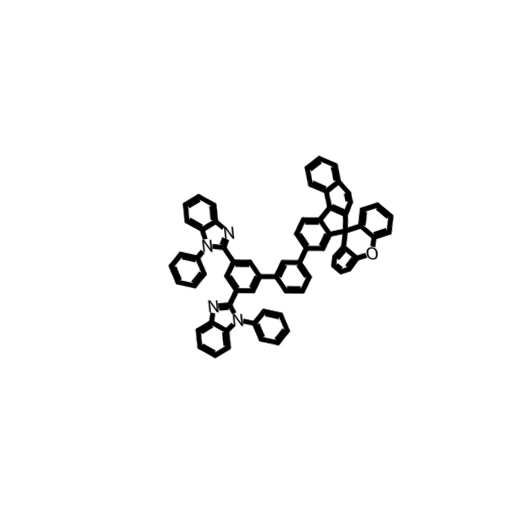 c1ccc(-n2c(-c3cc(-c4cccc(-c5ccc6c(c5)C5(c7ccccc7Oc7ccccc75)c5ccc7ccccc7c5-6)c4)cc(-c4nc5ccccc5n4-c4ccccc4)c3)nc3ccccc32)cc1